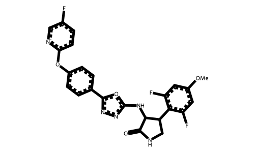 COc1cc(F)c(C2CNC(=O)C2Nc2nnc(-c3ccc(Oc4ccc(F)cn4)cc3)o2)c(F)c1